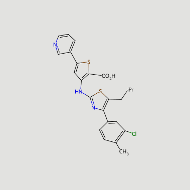 Cc1ccc(-c2nc(Nc3cc(-c4cccnc4)sc3C(=O)O)sc2CC(C)C)cc1Cl